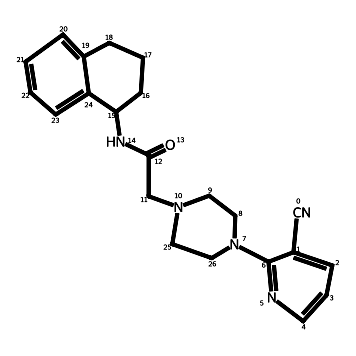 N#Cc1cccnc1N1CCN(CC(=O)NC2CCCc3ccccc32)CC1